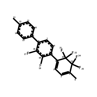 CC1=CC=C(c2ccc(-c3ccc(C)cc3)c(F)c2F)C(F)(F)C1(F)F